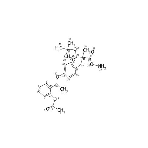 CC(=O)Oc1ccccc1C(C)Oc1ccc(CC(C)(C(=O)ON)C(=O)OC(C)(C)C)cc1